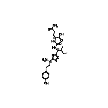 CCC(C)[C@H](NC(=O)N[C@@H](CCC(N)=O)C(=O)O)c1nc([C@@H](N)CCc2ccc(O)cc2)no1